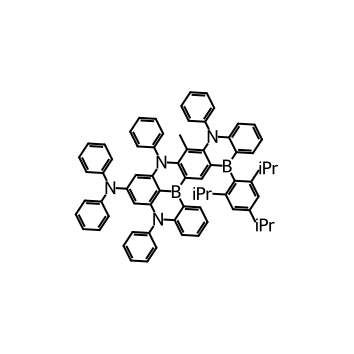 Cc1c2c(cc3c1N(c1ccccc1)c1cc(N(c4ccccc4)c4ccccc4)cc4c1B3c1ccccc1N4c1ccccc1)B(c1c(C(C)C)cc(C(C)C)cc1C(C)C)c1ccccc1N2c1ccccc1